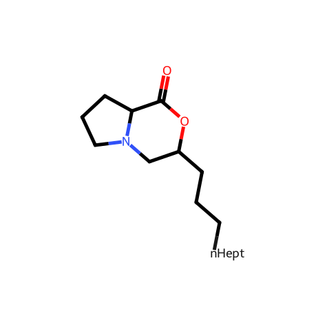 CCCCCCCCCCC1CN2CCCC2C(=O)O1